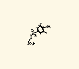 Cc1cc(S(=O)(=O)CCOS(=O)(=O)O)cc(C)c1N